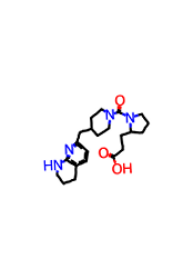 O=C(O)CCC1CCCN1C(=O)N1CCC(Cc2ccc3c(n2)NCCC3)CC1